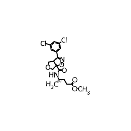 COC(=O)CC[C@H](C)NC(=O)C12COCC1C(c1cc(Cl)cc(Cl)c1)=NO2